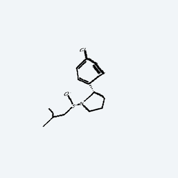 CC(C)C[S+]([O-])N1CCC[C@H]1c1ccc(Cl)cc1